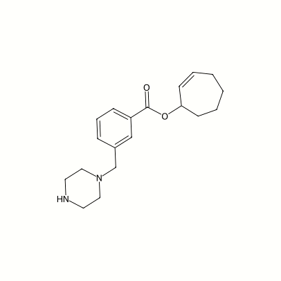 O=C(OC1C=CCCCC1)c1cccc(CN2CCNCC2)c1